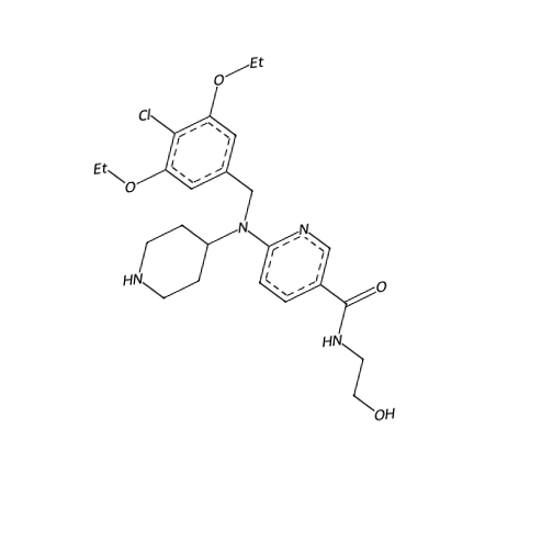 CCOc1cc(CN(c2ccc(C(=O)NCCO)cn2)C2CCNCC2)cc(OCC)c1Cl